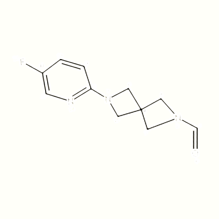 O=CN1CC2(C1)CN(c1ccc(F)cn1)C2